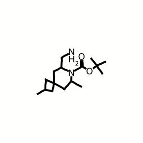 CC1CC2(C1)CC(C)N(C(=O)OC(C)(C)C)C(CN)C2